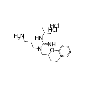 CC(C)NC(=N)N(CCCN)CC1CCc2ccccc2O1.Cl.Cl